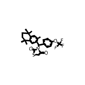 Cc1cc2c(cc1C(c1ccc(OC(F)(F)F)cc1)N1C(=O)CSC1=O)C(C)(C)CCC2(C)C